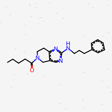 CCCCC(=O)N1CCc2nc(NCCCc3ccccc3)ncc2C1